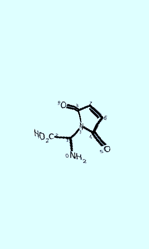 NC(C(=O)O)N1C(=O)C=CC1=O